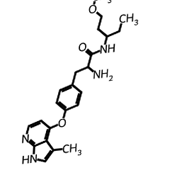 CCC(CCOC)NC(=O)C(N)Cc1ccc(Oc2ccnc3[nH]cc(C)c23)cc1